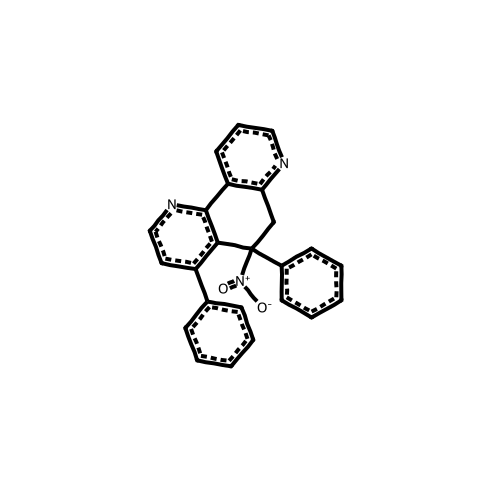 O=[N+]([O-])C1(c2ccccc2)Cc2ncccc2-c2nccc(-c3ccccc3)c21